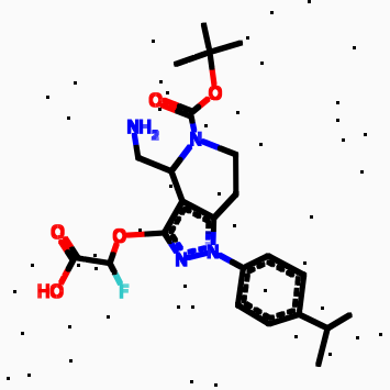 CC(C)c1ccc(-n2nc(OC(F)C(=O)O)c3c2CCN(C(=O)OC(C)(C)C)C3CN)cc1